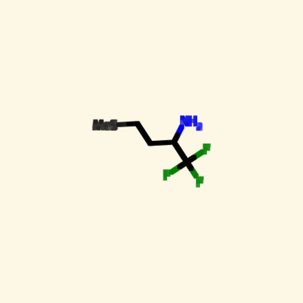 CSCCC(N)C(F)(F)F